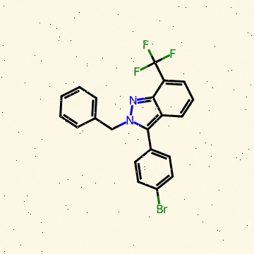 FC(F)(F)c1cccc2c(-c3ccc(Br)cc3)n(Cc3ccccc3)nc12